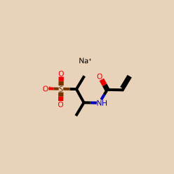 C=CC(=O)NC(C)C(C)S(=O)(=O)[O-].[Na+]